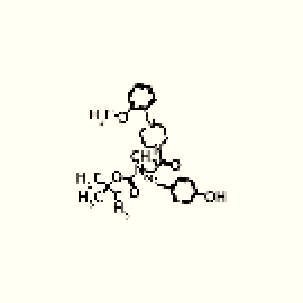 COc1ccccc1N1CCN(C(=O)[C@H](Cc2ccc(O)cc2)N(C)C(=O)OC(C)(C)C)CC1